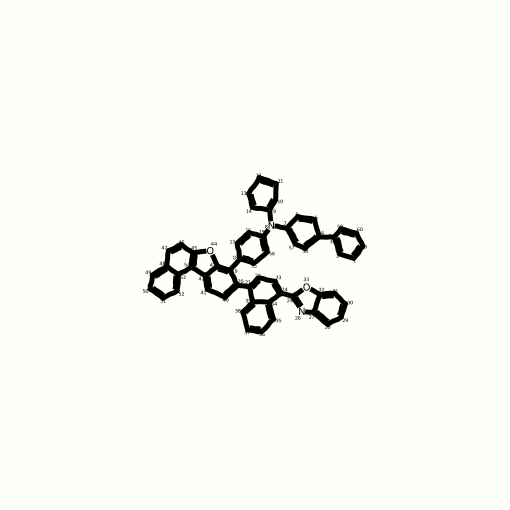 c1ccc(-c2ccc(N(c3ccccc3)c3ccc(-c4c(-c5ccc(-c6nc7ccccc7o6)c6ccccc56)ccc5c4oc4ccc6ccccc6c45)cc3)cc2)cc1